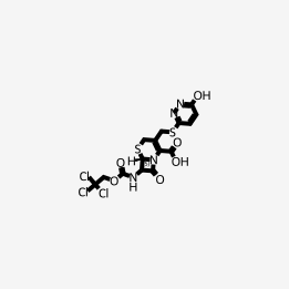 O=C(NC1C(=O)N2C(C(=O)O)=C(CSc3ccc(O)nn3)CS[C@@H]12)OCC(Cl)(Cl)Cl